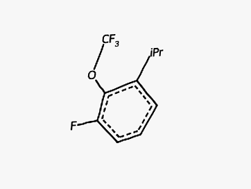 [CH2]C(C)c1cccc(F)c1OC(F)(F)F